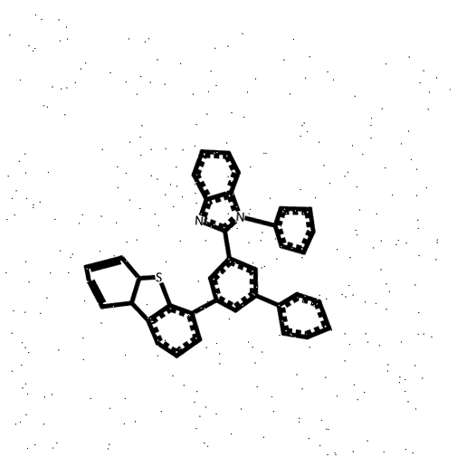 C1=CC2Sc3c(-c4cc(-c5ccccc5)cc(-c5nc6ccccc6n5-c5ccccc5)c4)cccc3C2C=C1